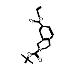 CCOC(=O)C1C=CC2=C(C1)CN(C(=O)OC(C)(C)C)CC2